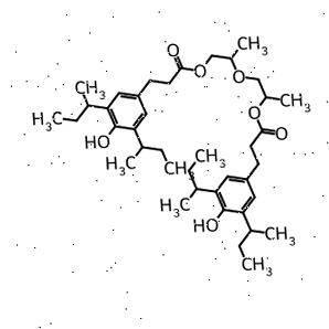 CCC(C)c1cc(CCC(=O)OCC(C)OCC(C)OC(=O)CCc2cc(C(C)CC)c(O)c(C(C)CC)c2)cc(C(C)CC)c1O